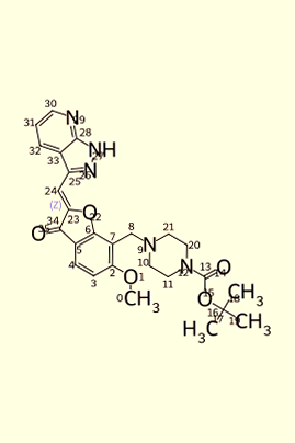 COc1ccc2c(c1CN1CCN(C(=O)OC(C)(C)C)CC1)O/C(=C\c1n[nH]c3ncccc13)C2=O